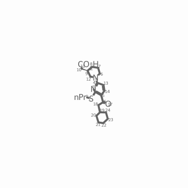 CCCSc1nc(N2CCC[C@H](CC(=O)O)C2)ccc1C(=O)CC1CCCCC1